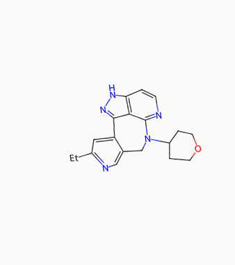 CCc1cc2c(cn1)CN(C1CCOCC1)c1nccc3[nH]nc-2c13